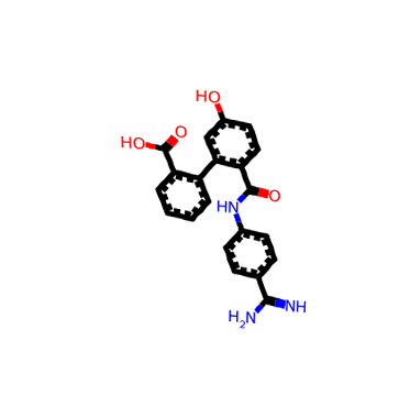 N=C(N)c1ccc(NC(=O)c2ccc(O)cc2-c2ccccc2C(=O)O)cc1